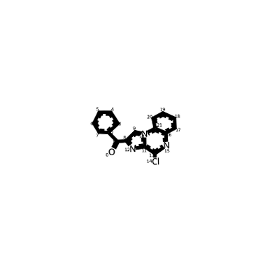 O=C(c1ccccc1)c1cn2c(n1)c(Cl)nc1ccccc12